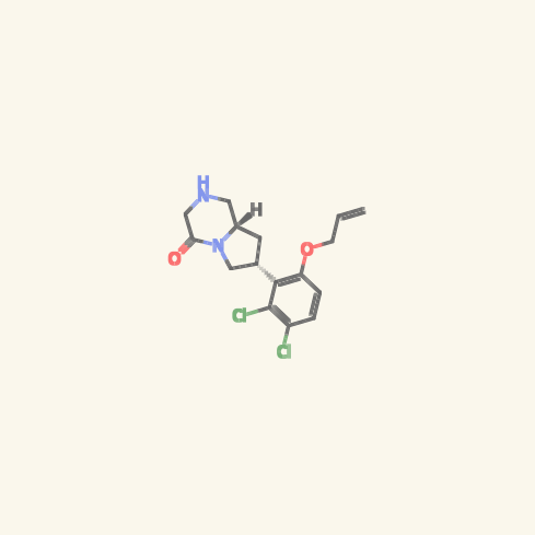 C=CCOc1ccc(Cl)c(Cl)c1[C@H]1C[C@H]2CNCC(=O)N2C1